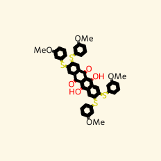 COc1cccc(Sc2cc3c(cc2Sc2cccc(OC)c2)C(=O)c2c(c(O)c4cc(Sc5cccc(OC)c5)c(Sc5cccc(OC)c5)cc4c2O)C3=O)c1